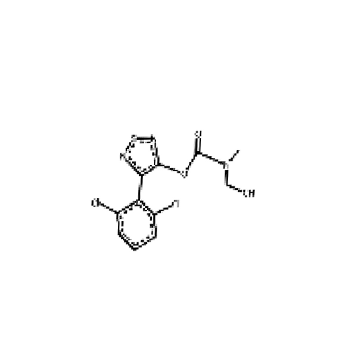 CN(CC#N)C(=O)Oc1nsnc1-c1c(Cl)cccc1Cl